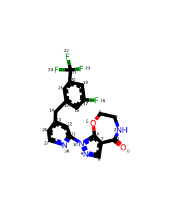 O=C1NCCOc2c1cnn2-c1cc(Cc2cc(F)cc(C(F)(F)F)c2)ccn1